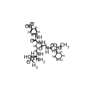 CC(=O)O.COC(=O)N(CC(=O)NCC(=O)N[C@@H](CCCNC(=N)N)C(=O)Nc1ccc([N+](=O)[O-])cc1)C1CCCCC1